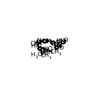 CNC(=O)COc1cc2cc(Nc3nc(N4CCC5(CC4)CN(CC4CCN(c6cccc7c6C(=O)N(C6CCC(=O)NC6=O)C7=O)CC4)C5)ncc3Cl)ccc2n(C(C)C)c1=O